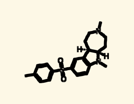 Cc1ccc(S(=O)(=O)c2ccc3c(c2)[C@H]2CCN(C)CC[C@@H]2N3C)cc1